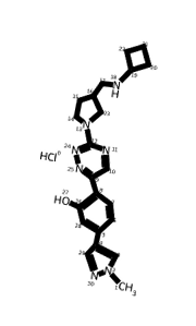 Cl.Cn1cc(-c2ccc(-c3cnc(N4CCC(CNC5CCC5)C4)nn3)c(O)c2)cn1